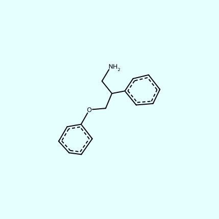 NCC(COc1ccccc1)c1ccccc1